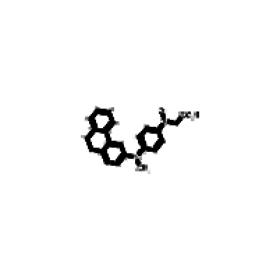 CN(c1ccc([S+]([O-])CC(=O)O)cc1)c1ccc2c(c1)-c1ccccc1CC2